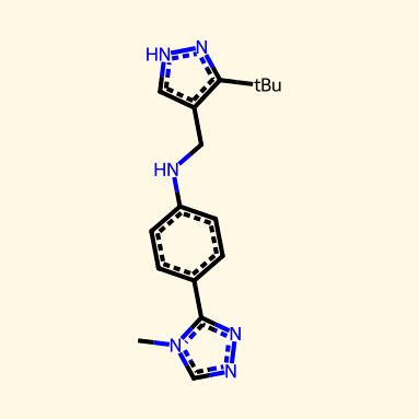 Cn1cnnc1-c1ccc(NCc2c[nH]nc2C(C)(C)C)cc1